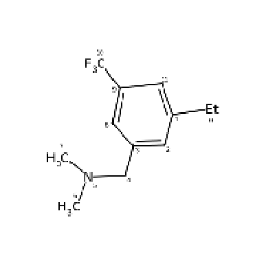 CCc1cc(CN(C)C)cc(C(F)(F)F)c1